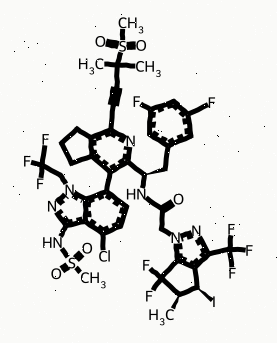 C[C@@H]1[C@H](I)c2c(C(F)(F)F)nn(CC(=O)N[C@H](Cc3cc(F)cc(F)c3)c3nc(C#CC(C)(C)S(C)(=O)=O)c4c(c3-c3ccc(Cl)c5c(NS(C)(=O)=O)nn(CC(F)(F)F)c35)CCC4)c2C1(F)F